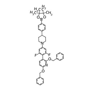 CC1(C)OB(c2ccc(C3CCN(c4cc(F)c(-c5ccc(OCc6ccccc6)nc5OCc5ccccc5)c(F)c4)CC3)cc2)OC1(C)C